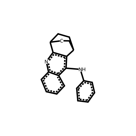 c1ccc(Nc2c3c(nc4ccccc24)C2CCC3CC2)cc1